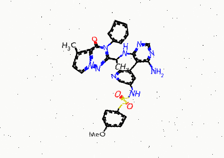 COc1ccc(S(=O)(=O)Nc2cncc(-c3c(N)ncnc3NC(C)c3nn4ccc(C)c4c(=O)n3-c3ccccc3)c2)cc1